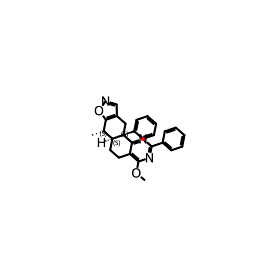 COc1nc(-c2ccccc2)nc2c1CC[C@H]1[C@H](C)c3oncc3C[C@]21c1ccccc1